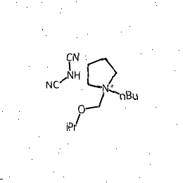 CCCC[N+]1(COC(C)C)CCCC1.N#CNC#N